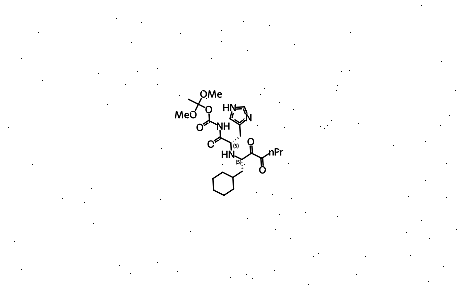 CCCC(=O)C(=O)[C@H](CC1CCCCC1)N[C@@H](Cc1c[nH]cn1)C(=O)NC(=O)OC(C)(OC)OC